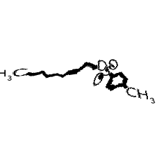 CCCCCCC#CCCOS(=O)(=O)c1ccc(C)cc1